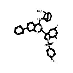 Cc1ccc(S(=O)(=O)n2cc(-c3nc(NC4C5CCC(CC5)C4C(=O)O)c4ccc(-c5ccccc5)cc4n3)c3cc(F)cc(F)c32)cc1